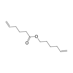 C=CCCCCOC(=O)CCCC=C